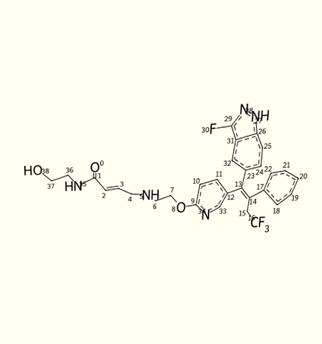 O=C(C=CCNCCOc1ccc(C(=C(CC(F)(F)F)c2ccccc2)c2ccc3[nH]nc(F)c3c2)cn1)NCCO